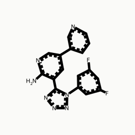 Nc1ncc(-c2cccnc2)cc1-c1nnnn1-c1cc(F)cc(F)c1